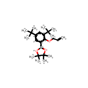 C=CCOc1c(B2OC(C)(C)C(C)(C)O2)cc(C(C)(C)C)cc1C(C)(C)C